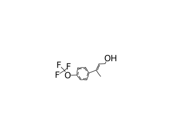 CC(=CCO)c1ccc(OC(F)(F)F)cc1